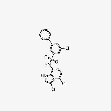 O=S(=O)(Nc1ccc(Cl)c2c(Cl)c[nH]c12)c1cc(Cl)cc(-c2ccccc2)c1